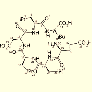 CC[C@H](C)[C@H](NC(=O)[C@H](CC(C)C)NC(=O)[C@H](CC(=O)O)NC(=O)[C@H](CC(C)C)NC(=O)[C@H](CC(C)C)NC(=O)[C@@H](N)CCC(=O)O)C(=O)O